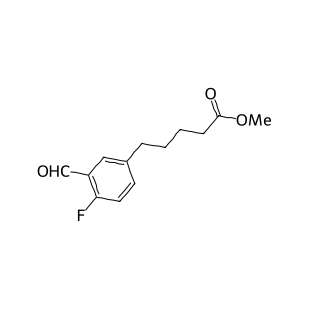 COC(=O)CCCCc1ccc(F)c(C=O)c1